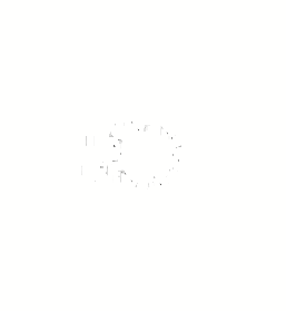 CC(C)C[C@H]1C(=O)N[C@@H](C2CCCCC2)C(=O)N[C@@H](CN)C(=O)N[C@@H]([C@H](C)O)C(=O)N[C@H](C)CN(CC2CCCC2)[C@@H](C)C(=O)N1C